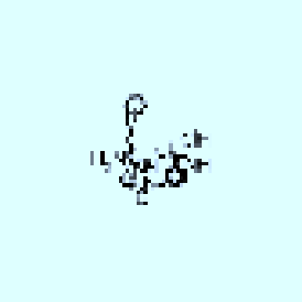 Cl.N[C@H](CCCCN1CCCCC1)C(=O)N1CC[C@H]1C(=O)NCc1ccc2[nH]cc(Cl)c2c1